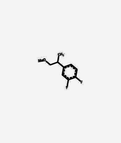 [CH2]C(COC)c1ccc(F)c(F)c1